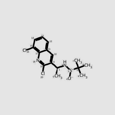 C[C@H](N[S+]([O-])C(C)(C)C)c1cc2cccc(Cl)c2nc1Cl